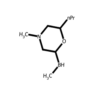 CBC1CN(C)CC(CCC)O1